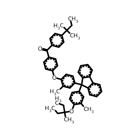 CCC(C)(CC)Oc1ccc(C2(c3ccc(Oc4ccc(C(=O)c5ccc(C(C)(C)CC)cc5)cc4)c(C)c3)c3ccccc3-c3ccccc32)cc1C